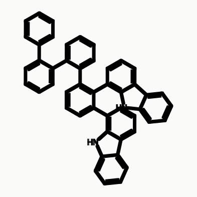 c1ccc(-c2ccccc2-c2ccccc2-c2cccc(-c3cccc4c3[nH]c3ccccc34)c2-c2cccc3c2[nH]c2ccccc23)cc1